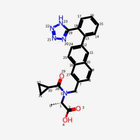 C[C@@H](C(=O)O)N(Cc1ccc2cc(-c3ccccc3-c3nnn[nH]3)ccc2c1)C(=O)C1CC1